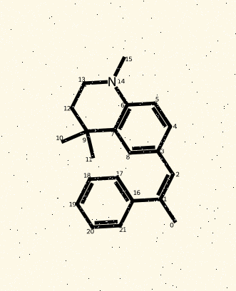 CC(=Cc1ccc2c(c1)C(C)(C)C[C]N2C)c1ccccc1